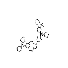 CC1(C)c2cc(N(c3ccccc3)c3ccc(C4=C5C=Cc6c7c(cc8c6c6ccccc6n8-c6ccccc6)C=CC(C=C4)C57)cc3)ccc2C2C=CC=CC21